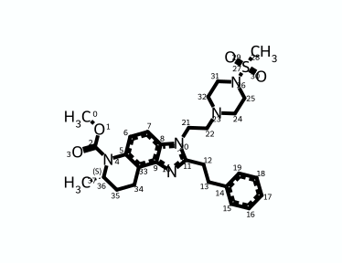 COC(=O)N1c2ccc3c(nc(CCc4ccccc4)n3CCN3CCN(S(C)(=O)=O)CC3)c2CC[C@@H]1C